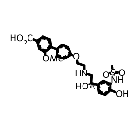 COc1cc(C(=O)O)ccc1-c1ccc(OCCNC[C@H](O)c2ccc(O)c(NS(C)(=O)=O)c2)cc1